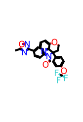 Cc1nc(-c2ccc(N(C=O)C3(c4ccc(OC(F)(F)F)cc4)CCOc4cccnc43)cc2)no1